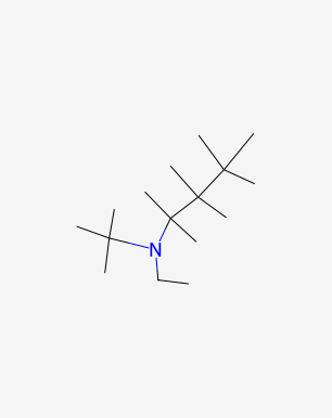 CCN(C(C)(C)C)C(C)(C)C(C)(C)C(C)(C)C